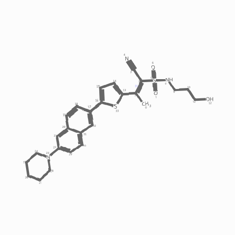 C/C(=C(/C#N)S(=O)(=O)NCCCO)c1ccc(-c2ccc3cc(N4CCCCC4)ccc3c2)s1